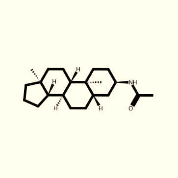 CC(=O)N[C@@H]1CC[C@@]2(C)[C@@H](CC[C@H]3[C@@H]4CCC[C@@]4(C)CC[C@@H]32)C1